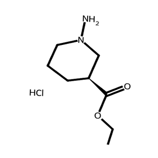 CCOC(=O)[C@H]1CCCN(N)C1.Cl